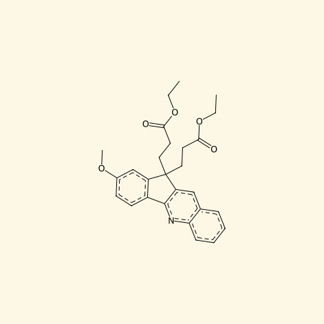 CCOC(=O)CCC1(CCC(=O)OCC)c2cc(OC)ccc2-c2nc3ccccc3cc21